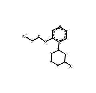 ClC1CCCC(c2ccccc2OCCBr)C1